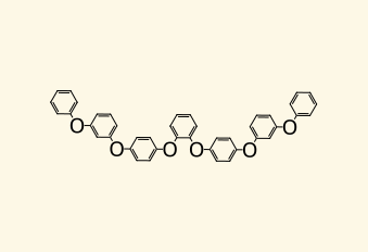 c1ccc(Oc2cccc(Oc3ccc(Oc4ccccc4Oc4ccc(Oc5cccc(Oc6ccccc6)c5)cc4)cc3)c2)cc1